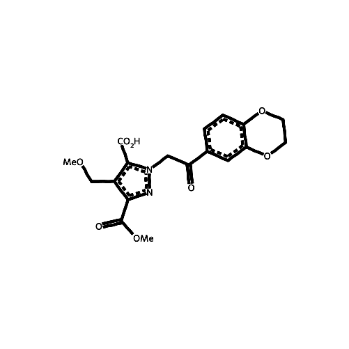 COCc1c(C(=O)OC)nn(CC(=O)c2ccc3c(c2)OCCO3)c1C(=O)O